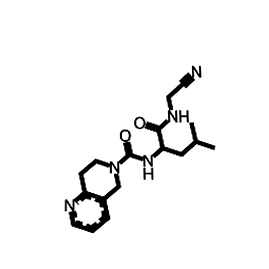 CC(C)CC(NC(=O)N1CCc2ncccc2C1)C(=O)NCC#N